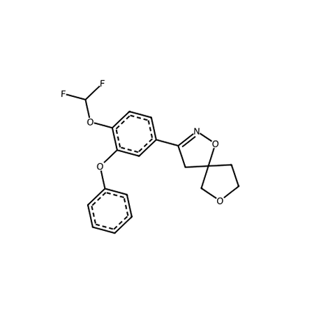 FC(F)Oc1ccc(C2=NOC3(CCOC3)C2)cc1Oc1ccccc1